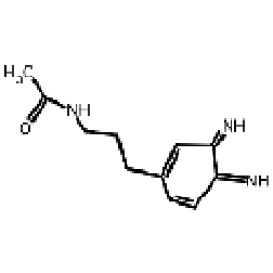 CC(=O)NCCCC1=CC(=N)C(=N)C=C1